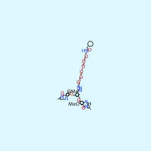 COc1cc2c(cc1OCc1cc(COc3cc4c(cc3OC)C(=O)N3C=C(C)C[C@H]3C=N4)cc(-c3cn(CCOCCOCCOCCOCCOCCOCCNC(=O)CC4CCCCCCC4)nn3)c1)N=CC1CC(C)=CN1C2=O